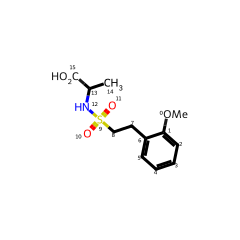 COc1ccccc1CCS(=O)(=O)NC(C)C(=O)O